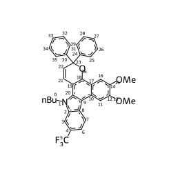 CCCCn1c2cc(C(F)(F)F)ccc2c2c3cc(OC)c(OC)cc3c3c(c21)C=CC(c1ccccc1)(c1ccccc1)O3